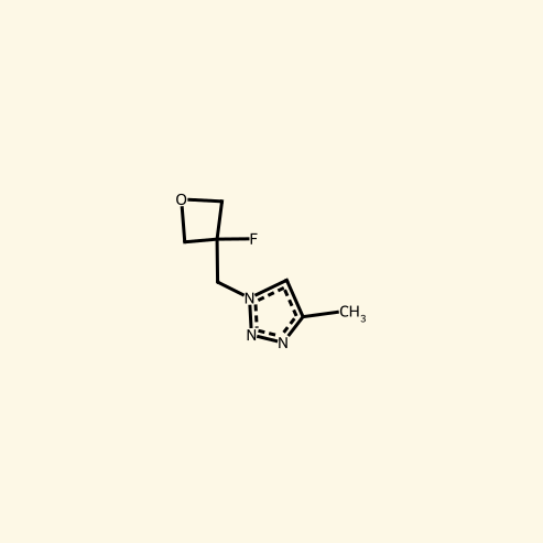 Cc1cn(CC2(F)COC2)nn1